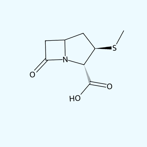 CS[C@@H]1CC2CC(=O)N2[C@H]1C(=O)O